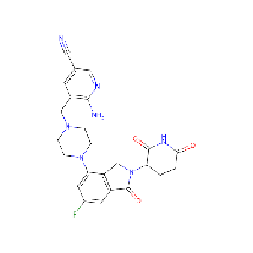 N#Cc1cnc(N)c(CN2CCN(c3cc(F)cc4c3CN(C3CCC(=O)NC3=O)C4=O)CC2)c1